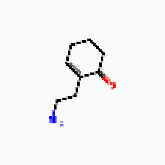 NCCC1=CCCCC1=O